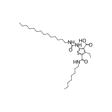 CCCCCCCCCCCCCCNC(=O)Nc1sc(C(=O)NCCCCCCCC)c(CC)c1C(=O)O